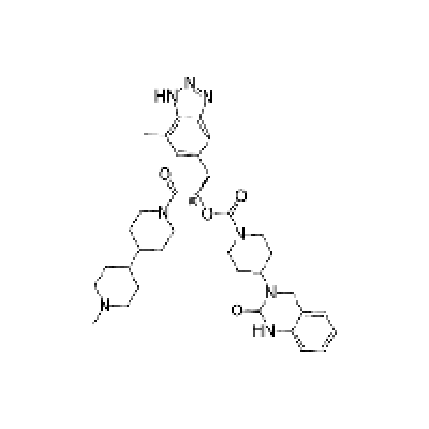 Cc1cc(C[C@@H](OC(=O)N2CCC(N3Cc4ccccc4NC3=O)CC2)C(=O)N2CCC(C3CCN(C)CC3)CC2)cc2nn[nH]c12